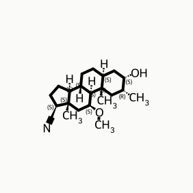 CO[C@H]1C[C@]2(C)[C@@H](C#N)CC[C@H]2[C@@H]2CC[C@H]3C[C@H](O)[C@H](C)C[C@]3(C)[C@H]21